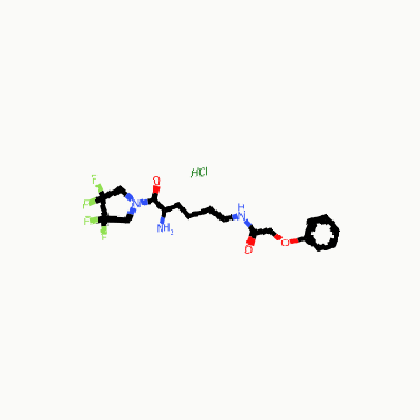 Cl.NC(CCCCNC(=O)COc1ccccc1)C(=O)N1CC(F)(F)C(F)(F)C1